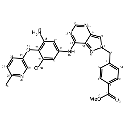 COC(=O)c1ccc(Cn2cc3ncnc(Nc4cc(N)c(Oc5ccc(C)nc5)c(Cl)c4)c3n2)cc1